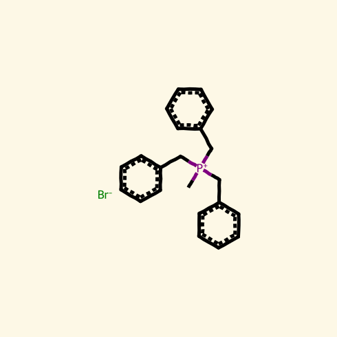 C[P+](Cc1ccccc1)(Cc1ccccc1)Cc1ccccc1.[Br-]